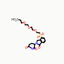 O=C(O)CCOCCOCCOCCS(=O)(=O)c1cccc2c1CN(C1CCC(=O)NC1=O)C2=O